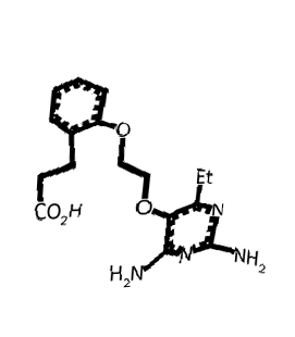 CCc1nc(N)nc(N)c1OCCOc1ccccc1CCC(=O)O